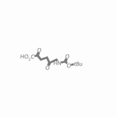 CC(C)(C)OC(=O)NCC(=O)CCC(=O)C(=O)O